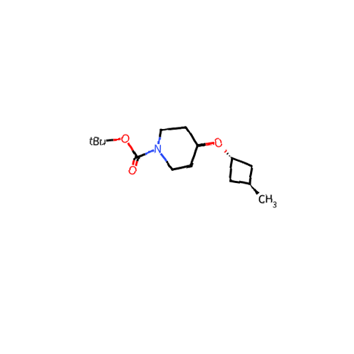 CC(C)(C)OC(=O)N1CCC(O[C@H]2C[C@H](C)C2)CC1